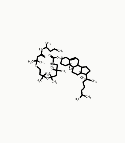 CCCC(C)NC(=O)CC(C)(C)OCCC(C)(C)OC(C)(C)CC(C)(C)CNC(=O)O[C@H]1CC[C@@]2(C)C(=CCC3C4CCC(C(C)CCCC(C)C)[C@@]4(C)CCC32)C1